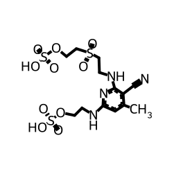 Cc1cc(NCCOS(=O)(=O)O)nc(NCCS(=O)(=O)CCOS(=O)(=O)O)c1C#N